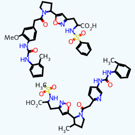 COc1cc(CC(=O)N2CCCC2c2cc(CC(NS(=O)(=O)c3ccccc3)C(=O)O)no2)ccc1NC(=O)Nc1ccccc1C.Cc1ccccc1NC(=O)Nc1ccc(CC(=O)N2CCC(C)C2c2cc(CC(NS(C)(=O)=O)C(=O)O)no2)nc1